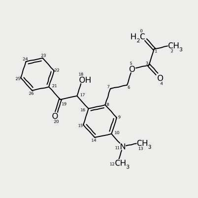 C=C(C)C(=O)OCCc1cc(N(C)C)ccc1C(O)C(=O)c1ccccc1